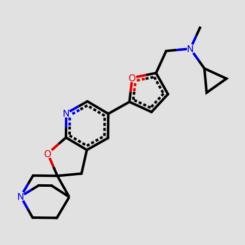 CN(Cc1ccc(-c2cnc3c(c2)CC2(CN4CCC2CC4)O3)o1)C1CC1